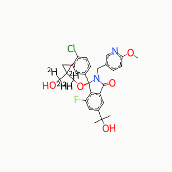 [2H]C([2H])(O)C1(C([2H])([2H])O[C@]2(c3ccc(Cl)cc3)c3c(F)cc(C(C)(C)O)cc3C(=O)N2Cc2ccc(OC)nc2)CC1